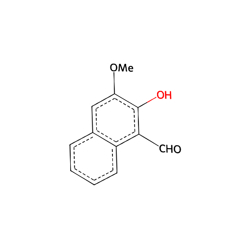 COc1cc2ccccc2c(C=O)c1O